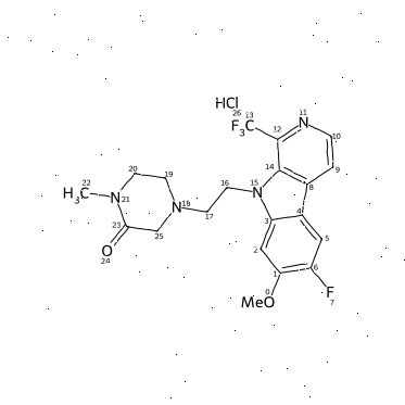 COc1cc2c(cc1F)c1ccnc(C(F)(F)F)c1n2CCN1CCN(C)C(=O)C1.Cl